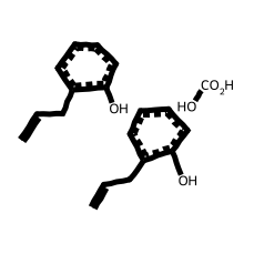 C=CCc1ccccc1O.C=CCc1ccccc1O.O=C(O)O